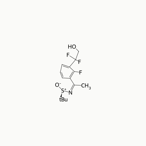 C/C(=N/[S@+]([O-])C(C)(C)C)c1cccc(C(F)(F)CO)c1F